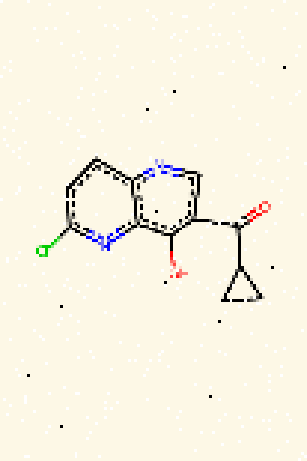 O=C(c1cnc2ccc(Cl)nc2c1O)C1CC1